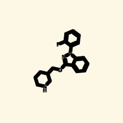 Fc1ccccc1-n1nc(OCC2CCCNC2)c2ccccc21